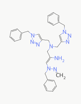 C=NN(/C=C(\N)CN(Cc1cn(Cc2ccccc2)nn1)Cc1cn(Cc2ccccc2)nn1)Cc1ccccc1